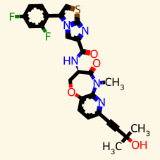 CN1C(=O)[C@@H](NC(=O)c2cn3c(-c4ccc(F)cc4F)csc3n2)COc2ccc(C#CC(C)(C)O)nc21